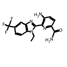 CCn1c(-c2nc(C(N)=O)ccc2N)nc2cc(C(F)(F)F)ccc21